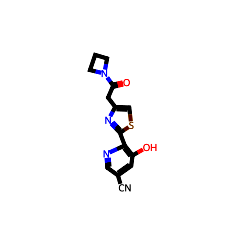 N#Cc1cnc(-c2nc(CC(=O)N3CCC3)cs2)c(O)c1